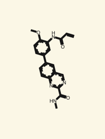 C=CC(=O)Nc1cc(-c2ccc3nc(C(=O)NC)ncc3c2)ccc1OC